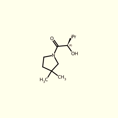 CC(C)[C@@H](O)C(=O)N1CCC(C)(C)C1